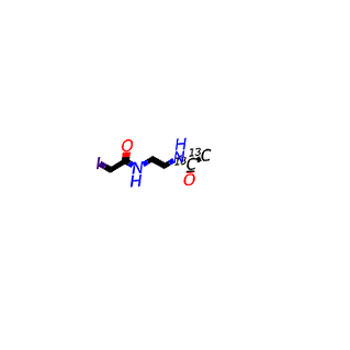 [13CH3][13C](=O)NCCNC(=O)CI